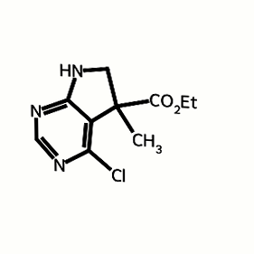 CCOC(=O)C1(C)CNc2ncnc(Cl)c21